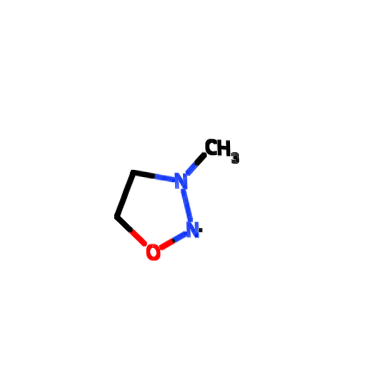 CN1CCO[N]1